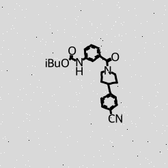 CC(C)COC(=O)Nc1cccc(C(=O)N2CCC(c3ccc(C#N)cc3)CC2)c1